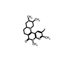 Cc1nc2c(cc1F)c1c(c(=O)n2C)CCC2CN(C)C(C)CN12